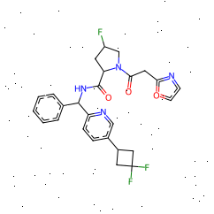 O=C(NC(c1ccccc1)c1ccc(C2CC(F)(F)C2)cn1)C1CC(F)CN1C(=O)Cc1ncco1